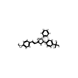 COc1ccc(C=CC2=NN(c3ccccc3)C(c3ccc(C(C)(C)C)cc3)C2)cc1